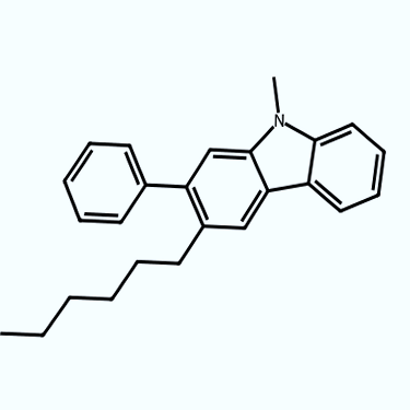 CCCCCCc1cc2c3ccccc3n(C)c2cc1-c1ccccc1